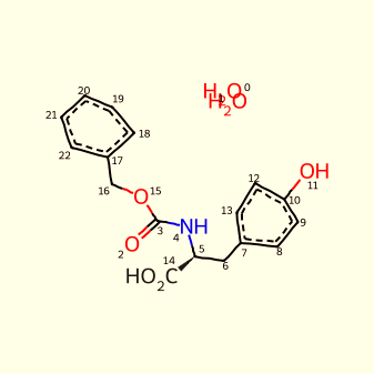 O.O.O=C(N[C@@H](Cc1ccc(O)cc1)C(=O)O)OCc1ccccc1